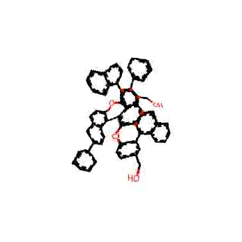 OCc1ccc(Oc2ccc3cc(-c4ccccc4)ccc3c2-c2c(Oc3ccc(CO)cc3-c3cccc4ccccc34)ccc3cc(-c4ccccc4)ccc23)c(-c2cccc3ccccc23)c1